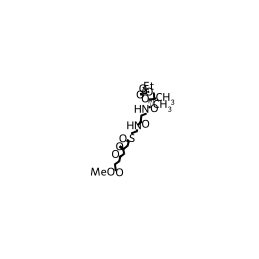 CCOP1(=O)OCC(C)(C)[C@H](C(=O)NCCC(=O)NCCSC(=O)CC(=O)CC(=O)CCC(=O)OC)O1